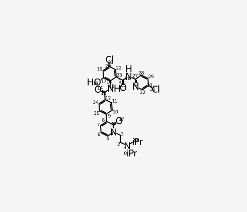 CC(C)N(CCn1cccc(-c2ccc(C(=O)Nc3c(O)cc(Cl)cc3C(=O)Nc3ccc(Cl)cn3)cc2)c1=O)C(C)C